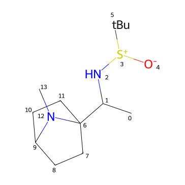 CC(N[S+]([O-])C(C)(C)C)C12CCC(CC1)N2C